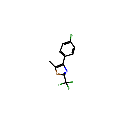 Cc1sc(C(F)(F)F)nc1-c1ccc(Br)cc1